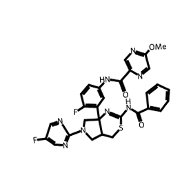 COc1cnc(C(=O)Nc2ccc(F)c(C34CN(c5ncc(F)cn5)CC3CSC(NC(=O)c3ccccc3)=N4)c2)cn1